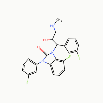 CNCC(O)C(c1cccc(F)c1)n1c(=O)n(-c2cccc(F)c2)c2cccc(F)c21